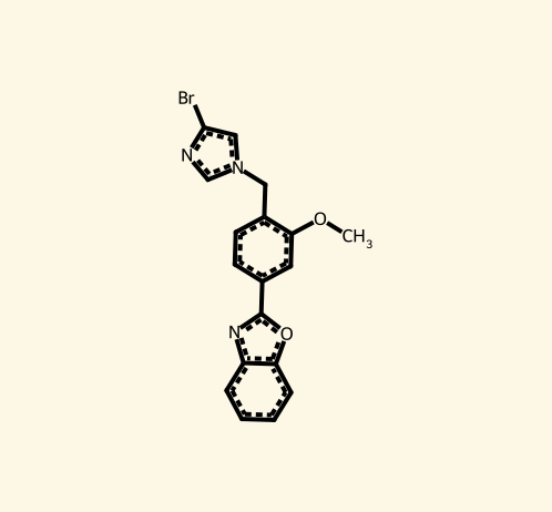 COc1cc(-c2nc3ccccc3o2)ccc1Cn1cnc(Br)c1